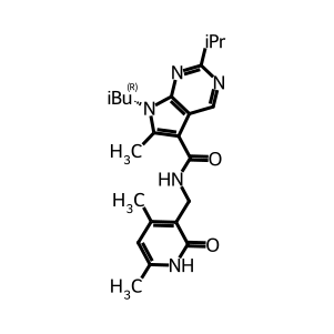 CC[C@@H](C)n1c(C)c(C(=O)NCc2c(C)cc(C)[nH]c2=O)c2cnc(C(C)C)nc21